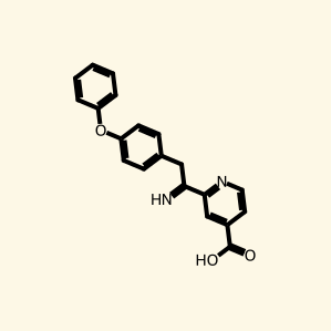 N=C(Cc1ccc(Oc2ccccc2)cc1)c1cc(C(=O)O)ccn1